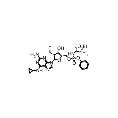 CCOC(=O)[C@H](C)NP(=O)(OC[C@H]1O[C@@H](n2cnc3c(NC4CC4)nc(N)nc32)[C@@H](CF)[C@@H]1O)Oc1ccccc1